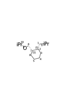 CC(C)C[C@@H]1CCCC[C@@H]1COC(C)C